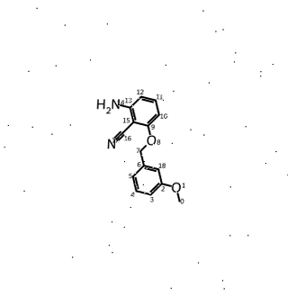 COc1cccc(COc2cccc(N)c2C#N)c1